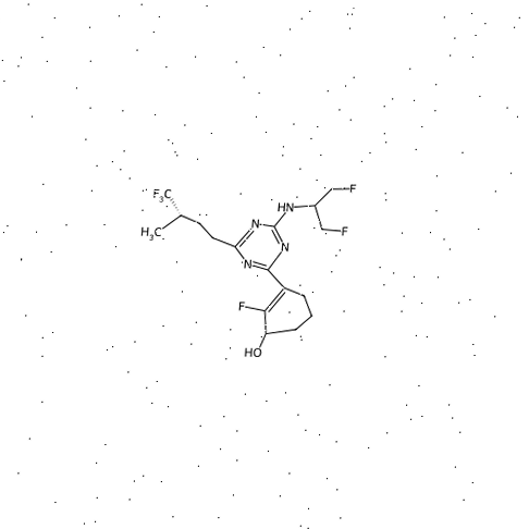 C[C@@H](CCc1nc(NC(CF)CF)nc(C2=C(F)C(O)CCC2)n1)C(F)(F)F